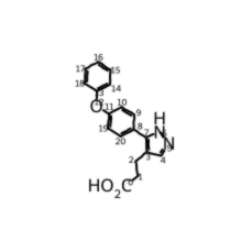 O=C(O)CCc1cn[nH]c1-c1ccc(Oc2ccccc2)cc1